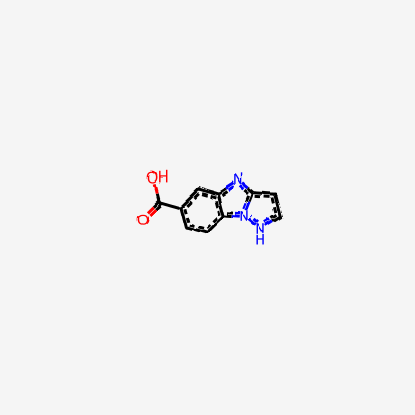 O=C(O)c1ccc2c(c1)nc1cc[nH]n12